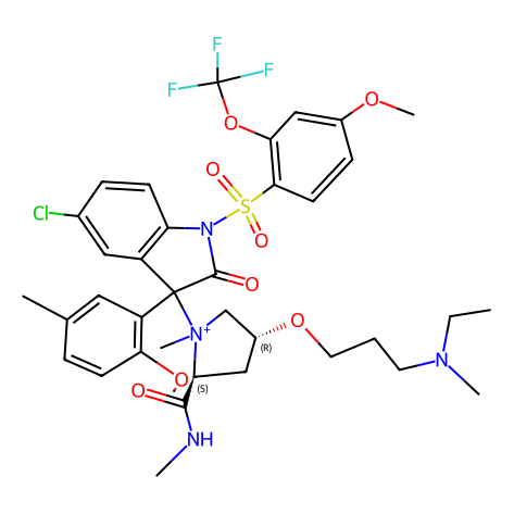 CCN(C)CCCO[C@@H]1C[C@@H](C(=O)NC)[N+](C)(C2(c3cc(C)ccc3OC)C(=O)N(S(=O)(=O)c3ccc(OC)cc3OC(F)(F)F)c3ccc(Cl)cc32)C1